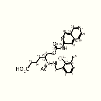 CC(=O)N(NCc1cccc(F)c1Cl)[C@@H](CCCC(=O)O)COC(=O)Nc1cc2ccncc2cn1